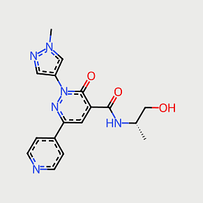 C[C@@H](CO)NC(=O)c1cc(-c2ccncc2)nn(-c2cnn(C)c2)c1=O